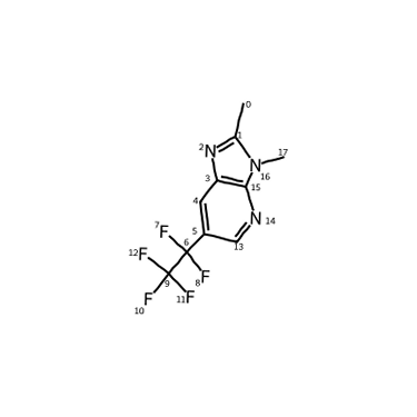 Cc1nc2cc(C(F)(F)C(F)(F)F)cnc2n1C